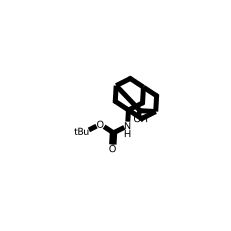 CC(C)(C)OC(=O)NC12CC3CC(C1)C(O)C(C3)C2